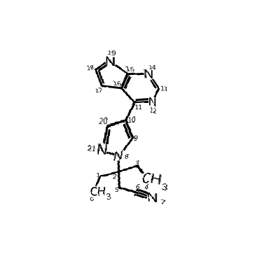 CCC(CC)(CC#N)n1cc(-c2ncnc3c2C=C=N3)cn1